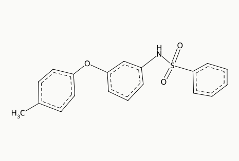 Cc1ccc(Oc2cccc(NS(=O)(=O)c3ccccc3)c2)cc1